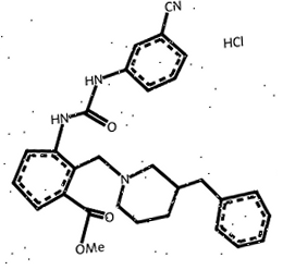 COC(=O)c1cccc(NC(=O)Nc2cccc(C#N)c2)c1CN1CCCC(Cc2ccccc2)C1.Cl